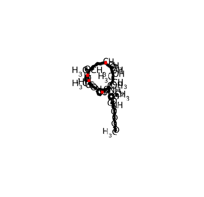 COCCOCCOCCOCCNC(=O)O[C@@H]1CC[C@@H](C[C@@H](N)[C@@H]2C[C@@H](O)[C@H](C)/C=C(\C)[C@@H](O)[C@@H](O)C(=O)[C@H](C)C[C@H](C)/C=C/C=C/C=C(\C)[C@@H](OC)C[C@@H]3CC[C@@H](C)[C@@](O)(O3)C(=O)COCN3CCCC[C@H]3C(=O)O2)C[C@H]1OC